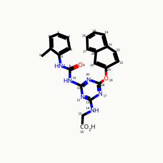 Cc1ccccc1NC(=O)Nc1nc(NCC(=O)O)nc(Oc2ccc3ccccc3c2)n1